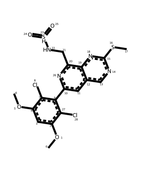 COc1cc(OC)c(Cl)c(-c2cc3cnc(SC)nc3c(CN[SH](=O)=O)n2)c1Cl